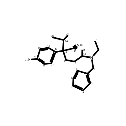 CCN(Cc1ccccc1)C(C)CCC(C#N)(c1ccc(F)cc1)C(C)C